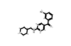 N#Cc1cccc(C(=O)c2cnc(NCC3CCOCC3)nc2)c1